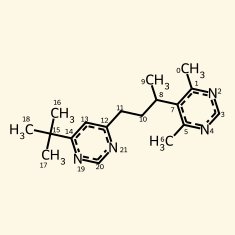 Cc1ncnc(C)c1C(C)CCc1cc(C(C)(C)C)ncn1